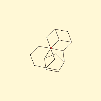 C1=CC2CC1C1CC3CC(C3C3CCCCC3)C21